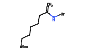 C=C(CCCCCCCCCCC)NC(C)C